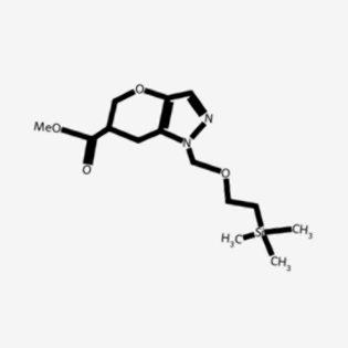 COC(=O)C1COc2cnn(COCC[Si](C)(C)C)c2C1